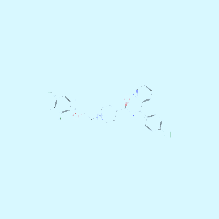 O=C(NC(c1ccc(Cl)cc1)c1ccccn1)C1CCN(CCOc2ccc(F)cc2F)CC1